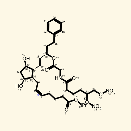 CC(C)OC(=O)CCC/C=C\C[C@@H]1[C@@H](CC[C@H](CCc2ccccc2)OC(=O)CNC(=O)CCCC(CO[N+](=O)[O-])O[N+](=O)[O-])[C@H](O)C[C@@H]1O